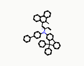 C=C/C(=C\c1c(C)c2ccccc2c2ccccc12)N(c1ccc(-c2ccccc2)cc1)c1ccc2c(c1)C(c1ccccc1)(c1ccccc1)c1ccccc1-2